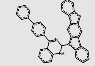 c1ccc(-c2ccc(C3=NC(n4c5ccccc5c5cc6sc7ccccc7c6cc54)Nc4ccccc43)cc2)cc1